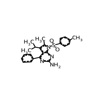 Cc1ccc(S(=O)(=O)n2c(C)c(C(C)C)c3c(-c4ccccc4)nc(N)nc32)cc1